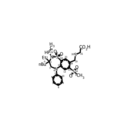 CCCCC1(CC)CN(c2ccccc2)c2cc(S(C)(=O)=O)c(CSCC(=O)O)cc2S(=O)(=O)N1PC